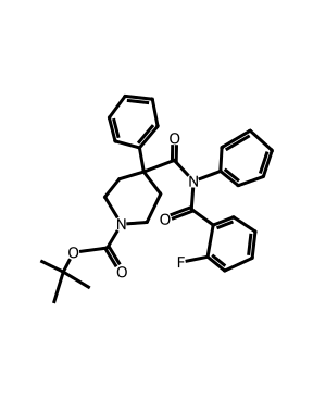 CC(C)(C)OC(=O)N1CCC(C(=O)N(C(=O)c2ccccc2F)c2ccccc2)(c2ccccc2)CC1